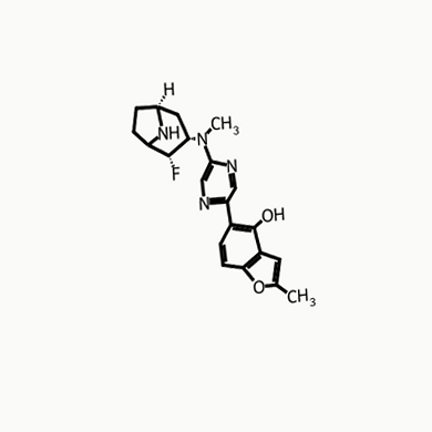 Cc1cc2c(O)c(-c3cnc(N(C)[C@H]4C[C@@H]5CCC(N5)[C@H]4F)cn3)ccc2o1